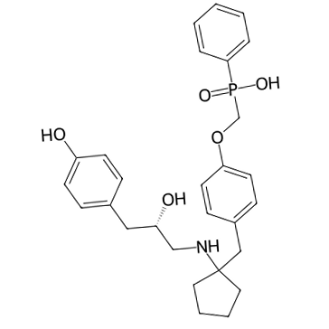 O=P(O)(COc1ccc(CC2(NC[C@@H](O)Cc3ccc(O)cc3)CCCC2)cc1)c1ccccc1